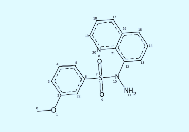 COc1cccc(S(=O)(=O)N(N)c2cccc3cccnc23)c1